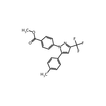 COC(=O)c1ccc(-n2nc(C(F)(F)F)cc2-c2ccc(C)cc2)cc1